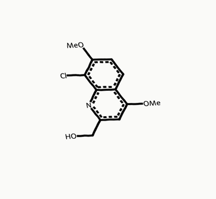 COc1ccc2c(OC)cc(CO)nc2c1Cl